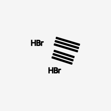 Br.Br.C#C.C#C